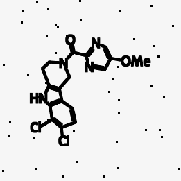 COc1cnc(C(=O)N2CCc3[nH]c4c(Cl)c(Cl)ccc4c3C2)nc1